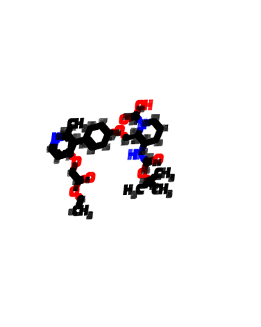 CCOC(=O)COc1ccnc(C)c1C1=CCC(OC[C@@H]2C(NC(=O)OC(C)(C)C)CCCN2C(=O)O)CC1